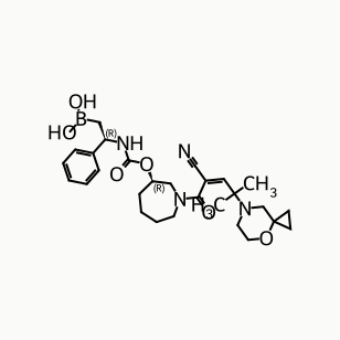 CC(C)(C=C(C#N)C(=O)N1CCCC[C@@H](OC(=O)N[C@H](CB(O)O)c2ccccc2)C1)N1CCOC2(CC2)C1